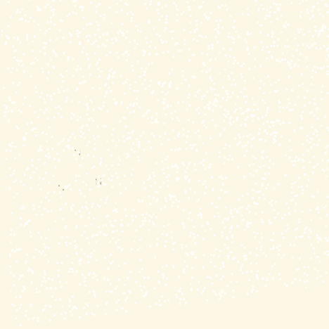 CCCCOc1ccc(/C=C/c2ncncn2)cc1